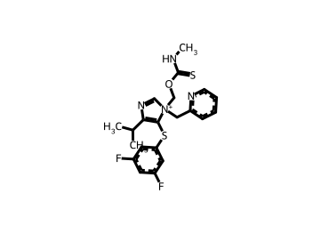 CNC(=S)OC[N+]1(Cc2ccccn2)C=NC(C(C)C)=C1Sc1cc(F)cc(F)c1